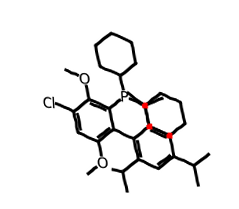 COc1cc(Cl)c(OC)c(P(C2CCCCC2)C2CCCCC2)c1-c1c(C(C)C)cc(C(C)C)cc1C(C)C